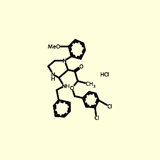 COc1ccccc1N1CCNC(NCc2ccccc2)C1C(=O)C(C)OCc1ccc(Cl)c(Cl)c1.Cl